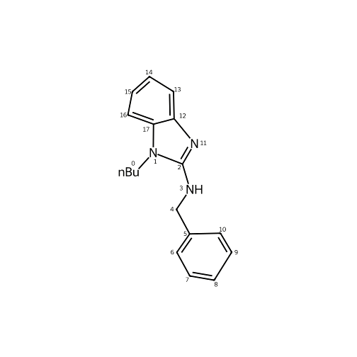 CCCCn1c(NCc2ccccc2)nc2ccccc21